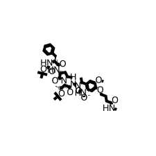 CNC(=O)CCCOc1cc([N+](=O)[O-])c(C(C)NNC(=O)[C@H]([C@@H](C)OC(C)(C)C)N2C(=O)[C@@H](NC(=O)[C@H](Cc3ccccc3)NC(=O)OC(C)(C)C)CC2C)cc1OC